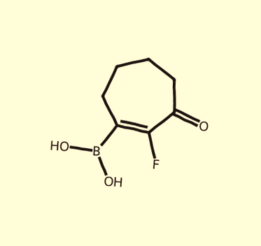 O=C1CCCCC(B(O)O)=C1F